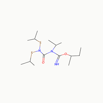 CCC(C)OC(=N)N(C(=O)N(SC(C)C)SC(C)C)C(C)C